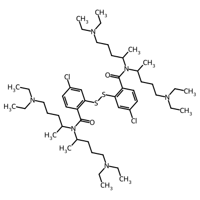 CCN(CC)CCCC(C)N(C(=O)c1ccc(Cl)cc1SSc1cc(Cl)ccc1C(=O)N(C(C)CCCN(CC)CC)C(C)CCCN(CC)CC)C(C)CCCN(CC)CC